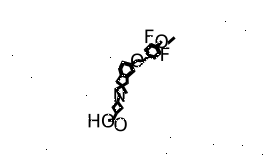 CCOc1c(F)cc(COc2ccc3c(c2)CC2(C3)CN(C3CC(C(=O)O)C3)C2)cc1F